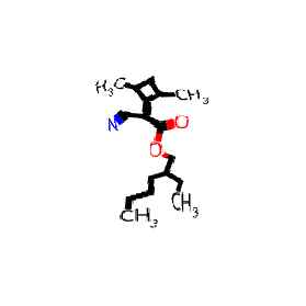 CCCCC(CC)COC(=O)C(C#N)=C1C(C)CC1C